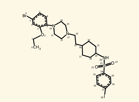 CCOc1cc(Br)ccc1N1CCN(CCC2CCC(NS(=O)(=O)c3ccc(I)cc3)CC2)CC1